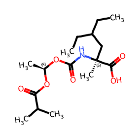 CCC(CC)C[C@](C)(NC(=O)O[C@H](C)OC(=O)C(C)C)C(=O)O